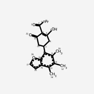 CCCC(=O)C1=C(O)CC(c2c(C)c(C)c(C)c3ccoc23)CC1=O